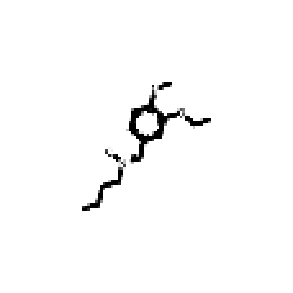 CCCC[N+]([O-])=Cc1ccc(OC)c(OCC)c1